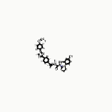 CCc1ccc(N2CCS/C2=N\C(=O)NC2CC2c2ccc(-c3ncn(-c4ccc(OC(F)(F)F)cc4)n3)cc2)c(C(C)C)c1